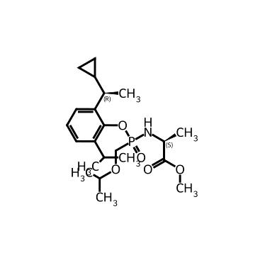 COC(=O)[C@H](C)NP(=O)(COC(C)C)Oc1c(C(C)C)cccc1[C@H](C)C1CC1